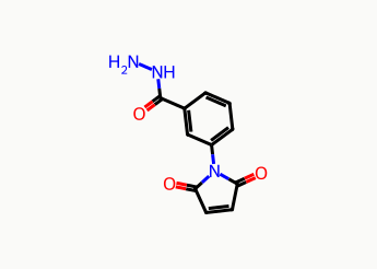 NNC(=O)c1cccc(N2C(=O)C=CC2=O)c1